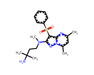 Cc1cc(C)n2nc(N(C)CCC(C)(C)N)c(S(=O)(=O)c3ccccc3)c2n1